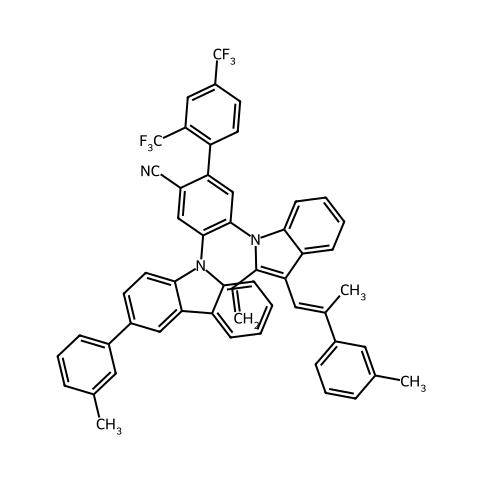 C=Cc1c(/C=C(\C)c2cccc(C)c2)c2ccccc2n1-c1cc(-c2ccc(C(F)(F)F)cc2C(F)(F)F)c(C#N)cc1-n1c2ccccc2c2cc(-c3cccc(C)c3)ccc21